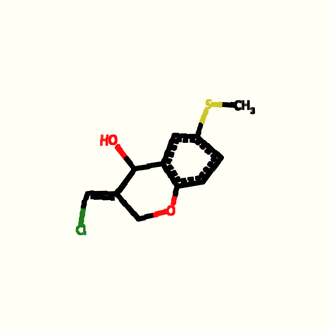 CSc1ccc2c(c1)C(O)/C(=C/Cl)CO2